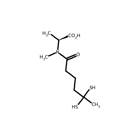 C[C@@H](C(=O)O)N(C)C(=O)CCCC(C)(S)S